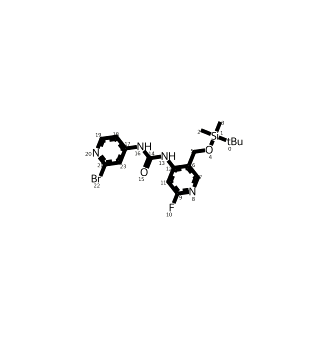 CC(C)(C)[Si](C)(C)OCc1cnc(F)cc1NC(=O)Nc1ccnc(Br)c1